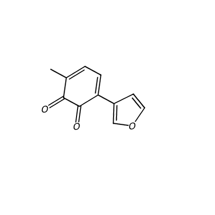 CC1=CC=C(c2ccoc2)C(=O)C1=O